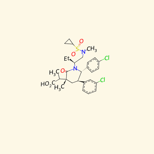 CC[C@@H](CN(C)S(=O)(=O)C1CC1)N1C(=O)[C@@](C)(C(C)C(=O)O)C[C@H](c2cccc(Cl)c2)[C@H]1c1ccc(Cl)cc1